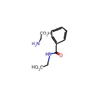 NCC(=O)O.O=C(O)CNC(=O)c1ccccc1